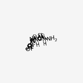 COc1ccc(-c2cnc(C(=O)Nc3ccc(C(=O)NCCN)c(Cl)c3)n2C)c(F)c1F